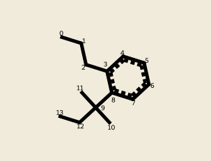 CCCc1ccccc1C(C)(C)CC